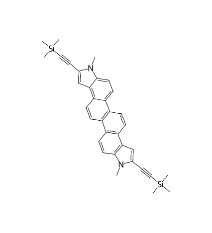 Cn1c(C#C[Si](C)(C)C)cc2c3ccc4c(ccc5c4ccc4c5cc(C#C[Si](C)(C)C)n4C)c3ccc21